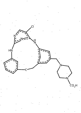 O=C(O)N1CCN(Cc2cc3cc(c2)Nc2nc(ncc2Cl)Nc2cccc(c2)CC3)CC1